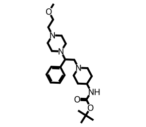 COCCN1CCN(C(CN2CCC(NC(=O)OC(C)(C)C)CC2)c2ccccc2)CC1